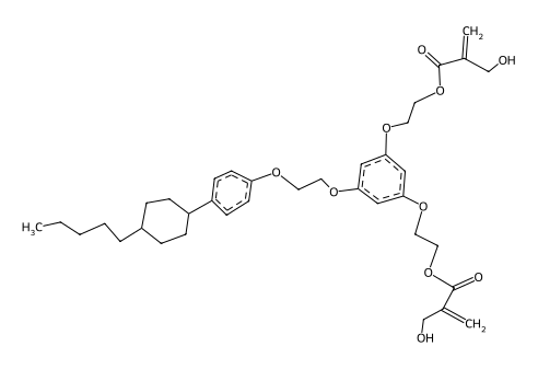 C=C(CO)C(=O)OCCOc1cc(OCCOC(=O)C(=C)CO)cc(OCCOc2ccc(C3CCC(CCCCC)CC3)cc2)c1